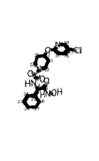 O=C(NO)C(NS(=O)(=O)N1CCC(Oc2ccc(Cl)cn2)CC1)C1CCCCC1